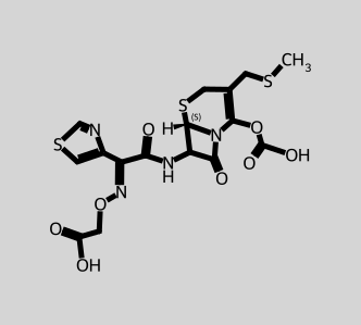 CSCC1=C(OC(=O)O)N2C(=O)C(NC(=O)C(=NOCC(=O)O)c3cscn3)[C@@H]2SC1